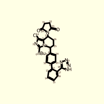 CCCCc1nc(Cl)c2n1C(c1ccc(-c3ccccc3-c3nnn[nH]3)cc1)CCC2N1C(=O)CCC1=O